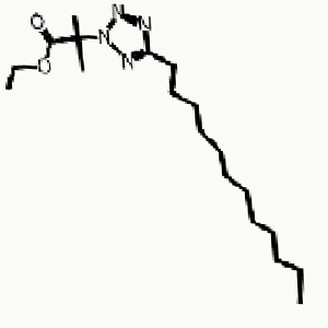 CCCCCCCCCCCCc1nnn(C(C)(C)C(=O)OCC)n1